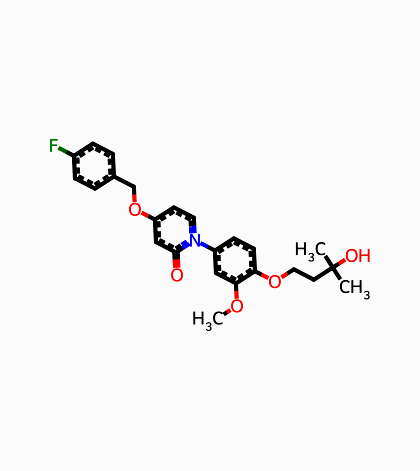 COc1cc(-n2ccc(OCc3ccc(F)cc3)cc2=O)ccc1OCCC(C)(C)O